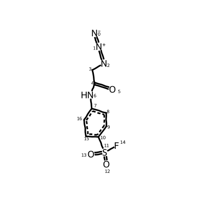 [N-]=[N+]=NCC(=O)Nc1ccc(S(=O)(=O)F)cc1